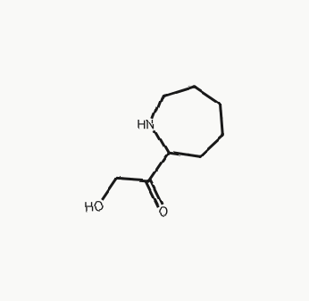 O=C(CO)C1CCCCCN1